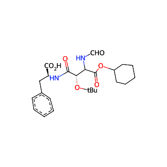 CC(C)(C)O[C@H](C(=O)N[C@@H](Cc1ccccc1)C(=O)O)C(NC=O)C(=O)OC1CCCCC1